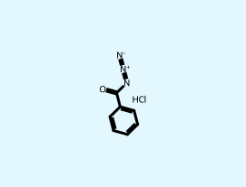 Cl.[N-]=[N+]=NC(=O)c1ccccc1